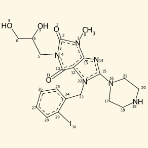 Cn1c(=O)n(CC(O)CO)c(=O)c2c1nc(N1CCNCC1)n2Cc1ccccc1I